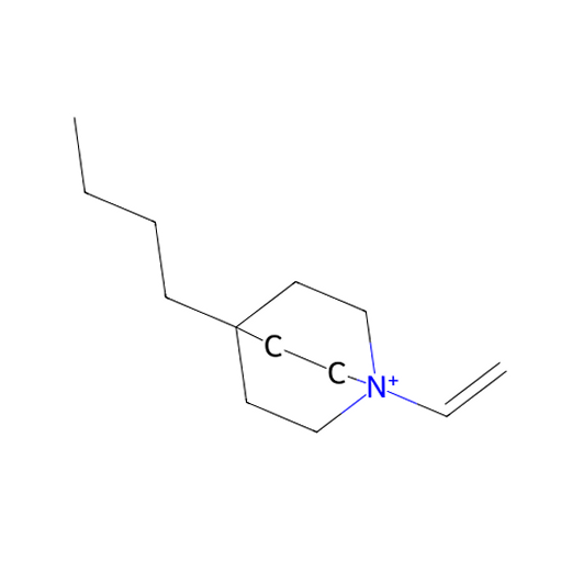 C=C[N+]12CCC(CCCC)(CC1)CC2